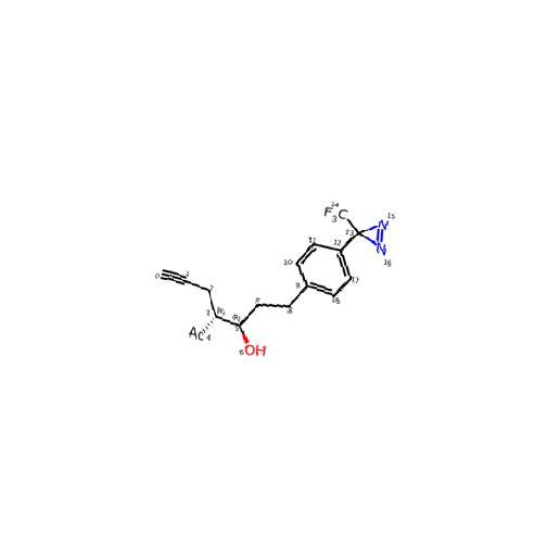 C#CC[C@@H](C(C)=O)[C@H](O)CCc1ccc(C2(C(F)(F)F)N=N2)cc1